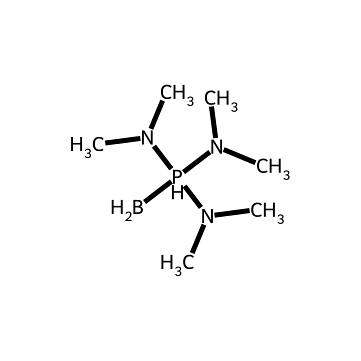 B[PH](N(C)C)(N(C)C)N(C)C